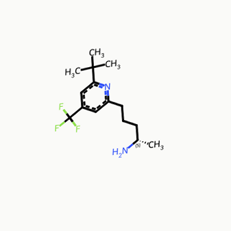 C[C@H](N)CCCc1cc(C(F)(F)F)cc(C(C)(C)C)n1